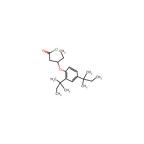 CCC([CH]C(=O)Cl)Oc1ccc(C(C)(C)CC)cc1C(C)(C)CC